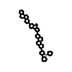 CC1(C)c2ccc(-c3ccc4c(ccc5c6ccc(-c7ccc8c9ccccc9n(-c9ccccc9)c8c7)cc6ccc45)c3)cc2-c2ccc(-c3ccc4c(ccc5c6ccccc6ccc45)c3)cc21